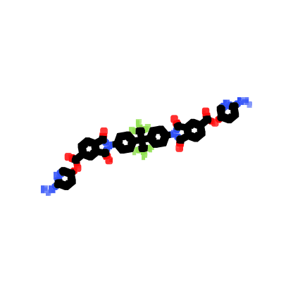 Nc1ccc(OC(=O)c2ccc3c(c2)C(=O)N(c2ccc(C(c4ccc(N5C(=O)c6ccc(C(=O)Oc7ccc(N)nc7)cc6C5=O)cc4)(C(F)(F)F)C(F)(F)F)cc2)C3=O)cn1